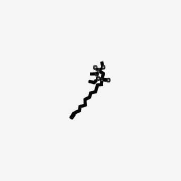 C=CCCCCCCCCCP(=O)(CP(=O)(OC)OC)OCC